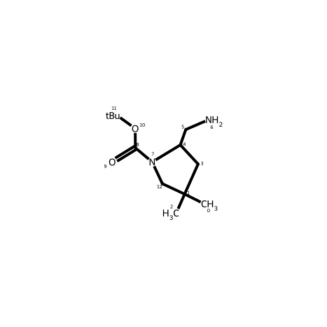 CC1(C)CC(CN)N(C(=O)OC(C)(C)C)C1